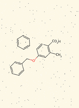 Cc1cc(OCc2ccccc2)ccc1C(=O)O.c1ccccc1